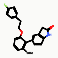 COc1cccc(OCCc2ccc(F)cc2)c1-c1ccc2c(c1)CC(=O)N2